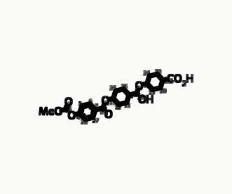 COC(=O)Oc1ccc(C(=O)OC2CCC(C(O)OC3CCC(C(=O)O)CC3)CC2)cc1